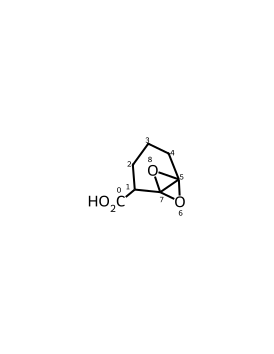 O=C(O)C1CCCC23OC12O3